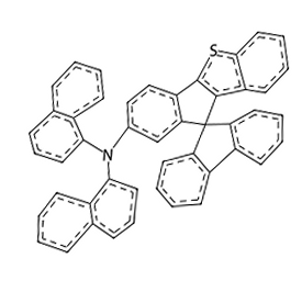 c1ccc2c(c1)-c1ccccc1C21c2cc(N(c3cccc4ccccc34)c3cccc4ccccc34)ccc2-c2sc3ccccc3c21